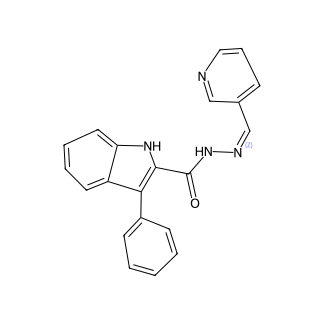 O=C(N/N=C\c1cccnc1)c1[nH]c2ccccc2c1-c1ccccc1